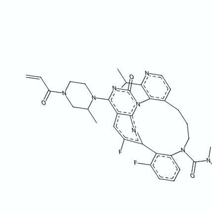 C=CC(=O)N1CCN(c2nc(=O)n3c4nc(c(F)cc24)-c2c(F)cccc2N(C(=O)N(C)C)CCCc2ccnc(C(C)C)c2-3)C(C)C1